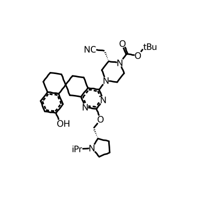 CC(C)N1CCC[C@H]1COc1nc2c(c(N3CCN(C(=O)OC(C)(C)C)[C@@H](CC#N)C3)n1)CCC1(CCCc3ccc(O)cc31)C2